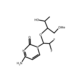 COCC(OC(C(F)F)n1ccc(N)nc1=O)C(C)O